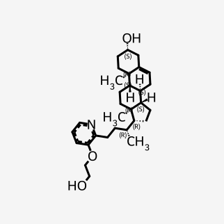 C[C@H](CCc1ncccc1OCCO)[C@H]1CC[C@H]2[C@@H]3CC=C4C[C@@H](O)CC[C@]4(C)[C@H]3CC[C@]12C